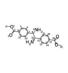 COC(=O)c1ccc(C(N)C(N)c2ccc(C(=O)OC)cc2)cc1